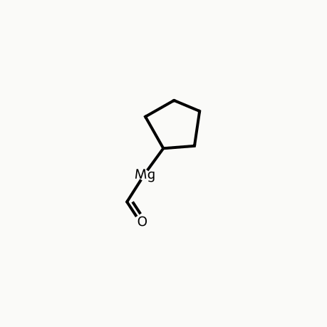 O=[CH][Mg][CH]1CCCC1